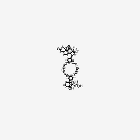 C[C@]12CCC(=O)C=C1CCC1C2C(=O)C[C@]2(C)C(=O)CC(c3ccc4c(c3)OCCOCCOc3ccc(C56CCCC(O)(C5)C[C@@](O)(CCO)C6)cc3OCCOCCO4)C12